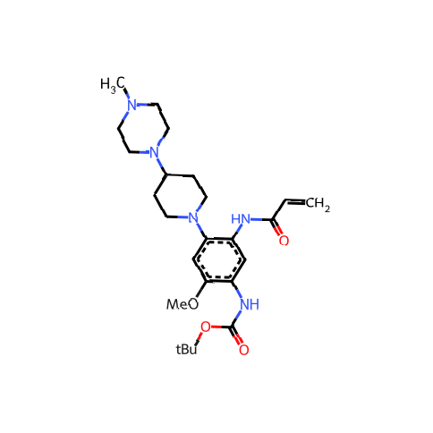 C=CC(=O)Nc1cc(NC(=O)OC(C)(C)C)c(OC)cc1N1CCC(N2CCN(C)CC2)CC1